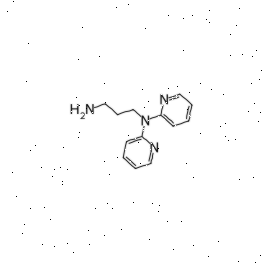 NCCCN(c1ccccn1)c1ccccn1